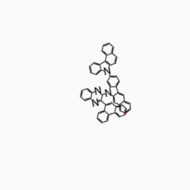 c1ccc2cc3c(cc2c1)c1ccc(-n2c4ccccc4c4c5ccccc5ccc42)cc1n3-c1nc2ccccc2nc1-c1cc2ccccc2c2ccccc12